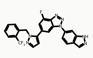 Fc1cc(-c2ccnn2Cc2ccccc2C(F)(F)F)cc2c1nnn2-c1ccc2cn[nH]c2c1